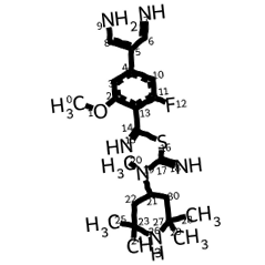 COc1cc(/C(C=N)=C/N)cc(F)c1C(=N)SC(=N)N(C)C1CC(C)(C)NC(C)(C)C1